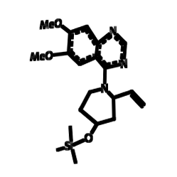 C=CC1CC(O[Si](C)(C)C)CCN1c1ncnc2cc(OC)c(OC)cc12